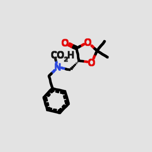 CC1(C)OC(=O)[C@@H](CN(Cc2ccccc2)C(=O)O)O1